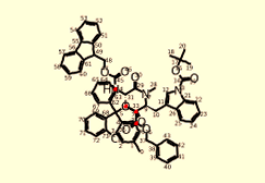 Cc1ccc(C(OC(=O)[C@H](Cc2cn(C(=O)OC(C)(C)C)c3ccccc23)N(C)C(=O)[C@H](CCC(=O)OCc2ccccc2)NC(=O)OCC2c3ccccc3-c3ccccc32)(c2ccccc2)c2ccccc2Cl)cc1